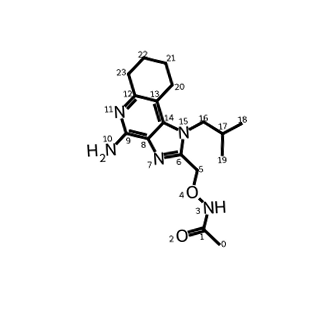 CC(=O)NOCc1nc2c(N)nc3c(c2n1CC(C)C)CCCC3